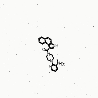 CCN(C)c1cccnc1N1CCN(C(=O)c2c[nH]c3ccc4ccccc4c23)CC1